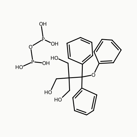 OCC(CO)(CO)C(Oc1ccccc1)(c1ccccc1)c1ccccc1.OP(O)OP(O)O